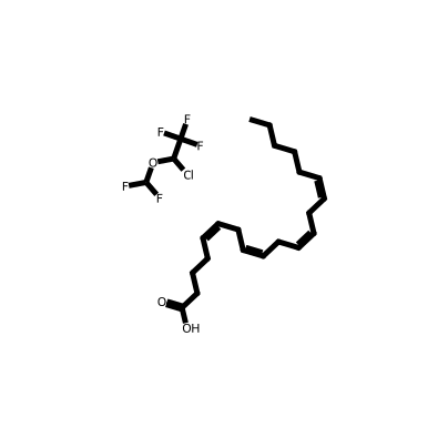 CCCCC/C=C\C/C=C\C/C=C\C/C=C\CCCC(=O)O.FC(F)OC(Cl)C(F)(F)F